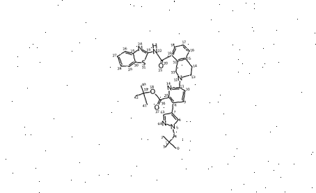 CC(C)(C)Cn1cc(-c2ccc(N3CCc4cccc(C(=O)Nc5nc6ccccc6s5)c4C3)nc2C(=O)OC(C)(C)C)cn1